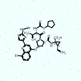 C=C[C@@H]1C[C@]1(NC(=O)[C@@H]1C[C@@H](Oc2cc(-c3csc(NC(C)C)n3)nc3c(CC)cccc23)CN1C(=O)[C@@H](NC(=O)OC1CCCC1)C(=C)C)C(=O)O